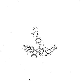 CCN1CCC(N2CCN(C3CCN(c4c(S(=O)(=O)c5ccc(OC(C)(C)C(C)(C)C)c(F)c5F)cnc5ccc(OC(F)(F)F)cc45)CC3)CC2)CC1